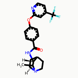 C[C@H]1[C@H](NC(=O)c2ccc(Oc3cc(C(F)(F)F)ccn3)cc2)C2CCN1CC2